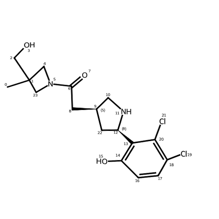 CC1(CO)CN(C(=O)C[C@H]2CN[C@@H](c3c(O)ccc(Cl)c3Cl)C2)C1